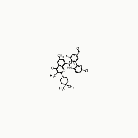 Cc1cc([C@@H](C)Nc2ccc(Cl)nc2-c2cc(F)cc(C=O)c2)c2oc(N3CCC(C)(C)CC3)c(C)c(=O)c2c1